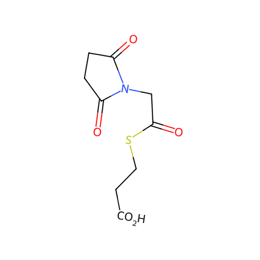 O=C(O)CCSC(=O)CN1C(=O)CCC1=O